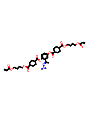 C=CC(=O)OCCCCOC(=O)C1CCC(C(=O)Oc2ccc(OC(=O)C3CCC(C(=O)OCCCCOC(=O)C=C)CC3)c(/C(C)=N/N(C)C)c2)CC1